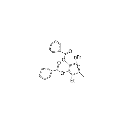 CCCc1cc(C)c(CC)c(OC(=O)c2ccccc2)c1OC(=O)c1ccccc1